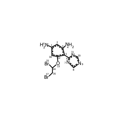 Nc1cc(N)c(-c2ncncn2)c(OC(Br)CBr)c1